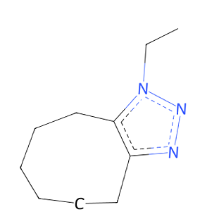 CCn1nnc2c1CCCCCC2